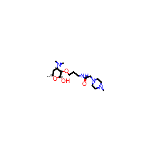 C[C@@H]1C[C@H](N(C)C)[C@@H](OCCCNC(=O)CN2CCN(C)CC2)[C@H](O)O1